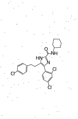 O=C(NC1CCCCC1)c1nc(-c2ccc(Cl)cc2Cl)c(CCc2ccc(Cl)cc2)[nH]1